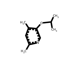 Cc1cc(C)c(OC(C)C)cn1